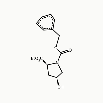 CCOC(=O)[C@@H]1C[C@H](O)CN1C(=O)OCc1ccccc1